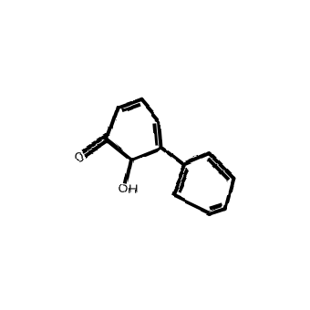 O=C1C=CC=C(c2ccccc2)C1O